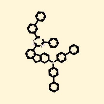 C=C(/N=C(\N=C(/C)c1ccccc1)c1cccc2c1C1=C(C2)CC(N(c2ccc(-c3ccccc3)cc2)c2ccc(-c3ccccc3)cc2)C=C1)c1cccc(-c2ccccc2)c1